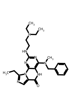 CCc1ncc2c(=O)[nH]c3c(N(C)Cc4ccccc4)nc(NCCN(CC)CC)nc3n12